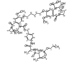 C=CCOC(=O)NC(C(=O)NC(C)C(=O)Nc1ccc(COC(=O)N2c3cc(OCCCCCOc4cc5c(cc4OC)C(=O)N4CC[C@H]4C(O)N5C(=O)O)c(OC)cc3C(=O)N3CC[C@H]3[C@@H]2O)cc1)C(C)C